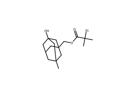 CCC(C)(C)C(=O)OCC12CC3CC(C)(CC(O)(C3)C1)C2